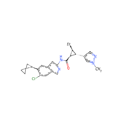 CC[C@@H]1[C@H](C(=O)Nc2cc3cc([C@@H]4CC45CC5)c(Cl)cc3cn2)[C@H]1c1cnn(C)c1